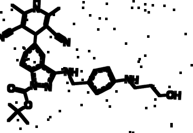 CC1=C(C#N)C(c2ccc3c(c2)c(NCc2ccc(NCCCO)cc2)nn3C(=O)OC(C)(C)C)C(C#N)=C(C)N1